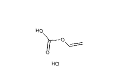 C=COC(=O)O.Cl